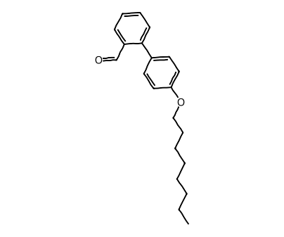 CCCCCCCCOc1ccc(-c2ccccc2C=O)cc1